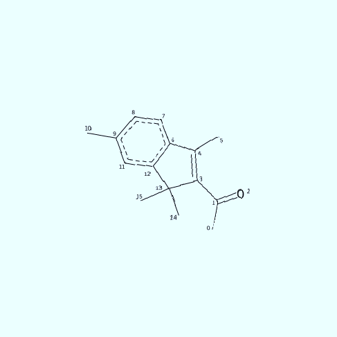 CC(=O)C1=C(C)c2ccc(C)cc2C1(C)C